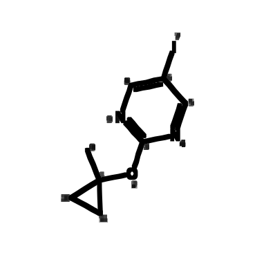 CC1(Oc2ncc(I)cn2)CC1